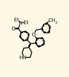 CCN(CC)C(=O)c1ccc(C(=C2CCNCC2)c2ccccc2OCc2cccc(C)c2)cc1